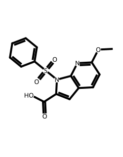 COc1ccc2cc(C(=O)O)n(S(=O)(=O)c3ccccc3)c2n1